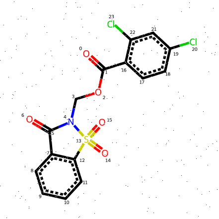 O=C(OCN1C(=O)c2ccccc2S1(=O)=O)c1ccc(Cl)cc1Cl